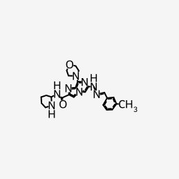 Cc1cccc(/C=N/Nc2cn3cc(C(=O)NC4CCCCN4)nc3c(N3CCOCC3)n2)c1